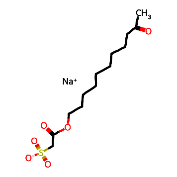 CC(=O)CCCCCCCCCOC(=O)CS(=O)(=O)[O-].[Na+]